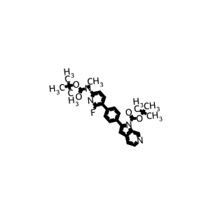 CN(C(=O)OC(C)(C)C)c1ccc(-c2ccc(-c3cc4ccncc4n3C(=O)OC(C)(C)C)cc2)c(F)n1